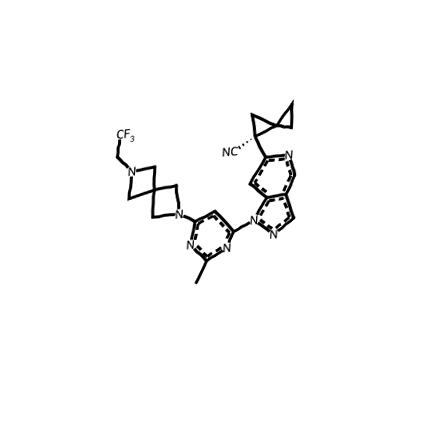 Cc1nc(N2CC3(CN(CC(F)(F)F)C3)C2)cc(-n2ncc3cnc([C@@]4(C#N)CC45CC5)cc32)n1